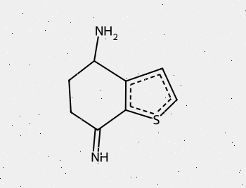 N=C1CCC(N)c2ccsc21